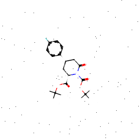 CC(C)(C)OC(=O)[C@H]1C[C@@H](c2ccc(F)cc2)CC(=O)N1C(=O)OC(C)(C)C